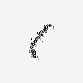 Nc1cnc(OC(=O)c2ccc3c(c2)C(=O)N(c2ccc(C(c4ccc(N5C(=O)c6ccc(C(=O)Oc7ncc(N)cn7)cc6C5=O)cc4)(C(F)(F)F)C(F)(F)F)cc2)C3=O)nc1